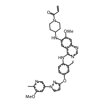 C=CC(=O)N1CCC(Nc2cc3c(Nc4ccc(Oc5ccn(-c6cnc(C)c(OC)c6)n5)cc4F)ncnc3cc2OC)CC1